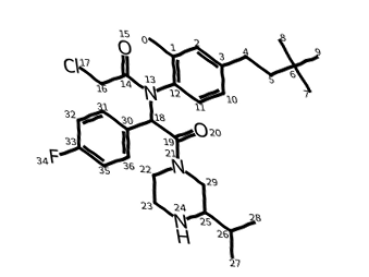 Cc1cc(CCC(C)(C)C)ccc1N(C(=O)CCl)C(C(=O)N1CCNC(C(C)C)C1)c1ccc(F)cc1